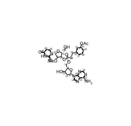 COC1C(OP(=O)(OC[C@H]2O[C@@H](n3cnc4c(N)ncnc43)CC2O)SCc2cccc(OC(C)=O)c2)[C@@H](CO)O[C@H]1n1ccc(=O)[nH]c1=O